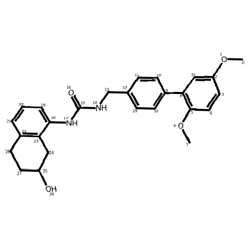 COc1ccc(OC)c(-c2ccc(CNC(=O)Nc3cccc4c3CC(O)CC4)cc2)c1